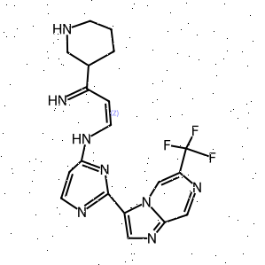 N=C(/C=C\Nc1ccnc(-c2cnc3cnc(C(F)(F)F)cn23)n1)C1CCCNC1